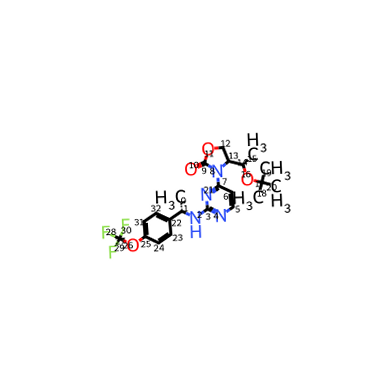 C[C@H](Nc1nccc(N2C(=O)OCC2[C@@H](C)OC(C)(C)C)n1)c1ccc(OC(F)(F)F)cc1